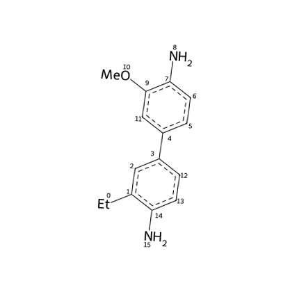 CCc1cc(-c2ccc(N)c(OC)c2)ccc1N